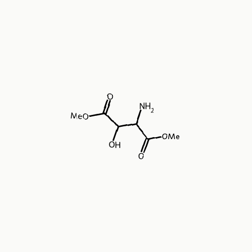 COC(=O)C(N)C(O)C(=O)OC